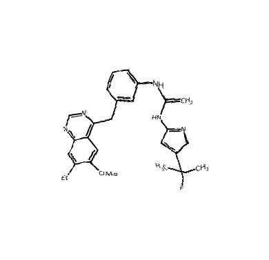 C=C(NC1=NCC(C(C)(C)F)=C1)Nc1cccc(Cc2ncnc3cc(CC)c(OC)cc23)c1